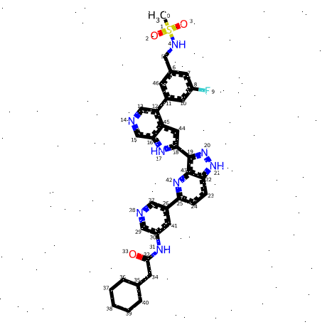 CS(=O)(=O)NCc1cc(F)cc(-c2cncc3[nH]c(-c4n[nH]c5ccc(-c6cncc(NC(=O)CC7CCCCC7)c6)nc45)cc23)c1